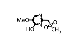 COc1cnc(CS(C)(=O)=O)nc1O